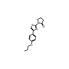 CCCOc1ccc(-c2csc(N3CCCC3=O)n2)cc1